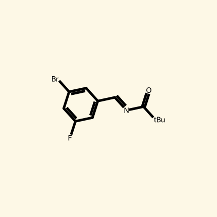 CC(C)(C)C(=O)N=Cc1cc(F)cc(Br)c1